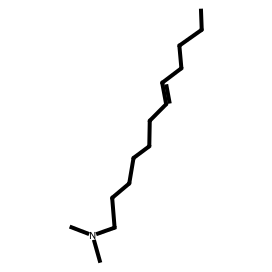 CCCCC=CCCCCCCN(C)C